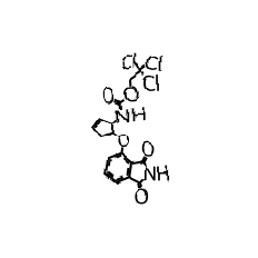 O=C(N[C@@H]1C=CC[C@@H]1Oc1cccc2c1C(=O)NC2=O)OCC(Cl)(Cl)Cl